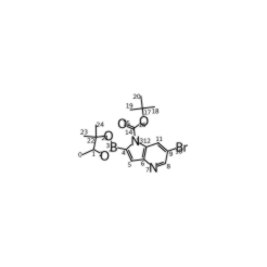 CC1OB(c2cc3ncc(Br)cc3n2C(=O)OC(C)(C)C)OC1(C)C